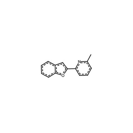 Cc1cccc(-c2cc3ccccc3o2)n1